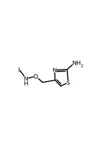 Nc1nc(CONI)cs1